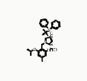 Cc1cc(O)c(CN2C[C@H](O[Si](c3ccccc3)(c3ccccc3)C(C)(C)C)C[C@@H]2CO)c(OC(C)C)c1